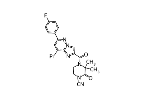 CC(C)c1cc(-c2ccc(F)cc2)nn2cc(C(=O)N3CCN(C#N)C(=O)C3(C)C)nc12